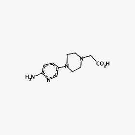 Nc1ccc(N2CCN(CC(=O)O)CC2)cn1